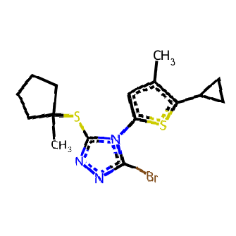 Cc1cc(-n2c(Br)nnc2SC2(C)CCCC2)sc1C1CC1